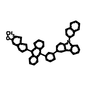 COc1ccc2cc(-c3c4ccccc4c(-c4cccc(-c5ccc6c(c5)c5ccccc5n6-c5ccc6ccccc6c5)c4)c4ccccc34)ccc2c1